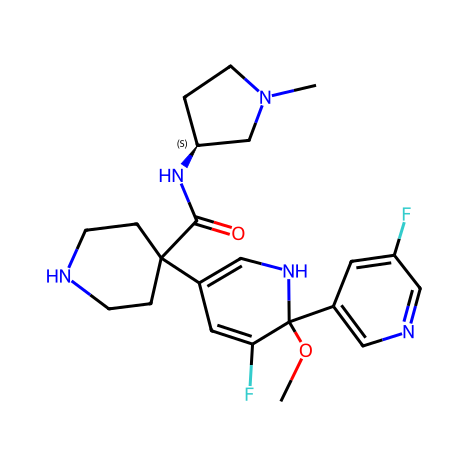 COC1(c2cncc(F)c2)NC=C(C2(C(=O)N[C@H]3CCN(C)C3)CCNCC2)C=C1F